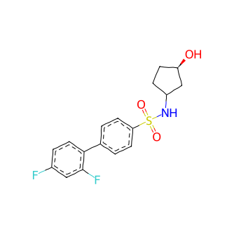 O=S(=O)(NC1CC[C@@H](O)C1)c1ccc(-c2ccc(F)cc2F)cc1